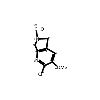 COc1cc2c(nc1Cl)CN(C=O)C2